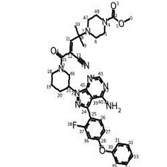 COC(=O)N1CCN(C(C)(C)C=C(C#N)C(=O)N2CCCC(n3nc(-c4ccc(Oc5ccccc5)cc4F)c4c(N)ncnc43)C2)CC1